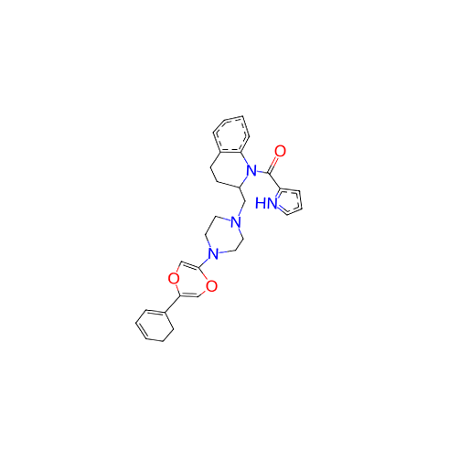 O=C(c1ccc[nH]1)N1c2ccccc2CCC1CN1CCN(C2=COC(C3=CC=CCC3)=CO2)CC1